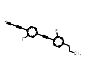 CCCc1ccc(C#Cc2ccc(C#CC#N)c(F)c2)c(F)c1